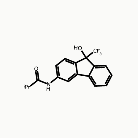 CC(C)C(=O)Nc1ccc2c(c1)-c1ccccc1C2(O)C(F)(F)F